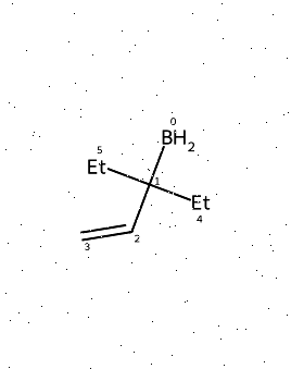 BC(C=C)(CC)CC